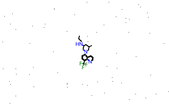 CCCNC1CC(C)CN(c2ccc(C(F)(F)F)c3ncccc23)C1